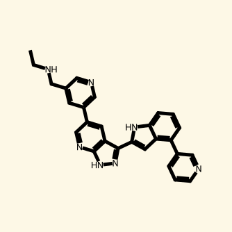 CCNCc1cncc(-c2cnc3[nH]nc(-c4cc5c(-c6cccnc6)cccc5[nH]4)c3c2)c1